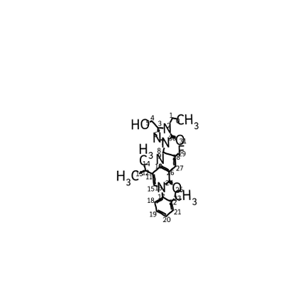 CCn1c(CO)nn(-c2nc3c(C(C)C)cn(-c4ccccc4C)c(=O)c3cc2F)c1=O